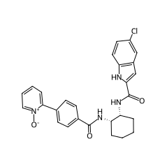 O=C(N[C@H]1CCCC[C@H]1NC(=O)c1cc2cc(Cl)ccc2[nH]1)c1ccc(-c2cccc[n+]2[O-])cc1